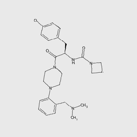 CN(C)Cc1ccccc1N1CCN(C(=O)[C@@H](Cc2ccc(Cl)cc2)NC(=O)N2C[CH]C2)CC1